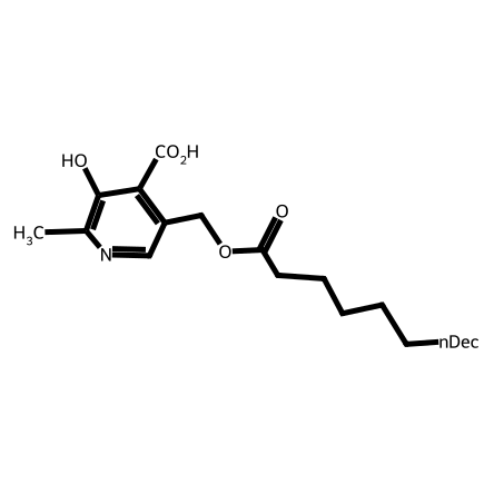 CCCCCCCCCCCCCCCC(=O)OCc1cnc(C)c(O)c1C(=O)O